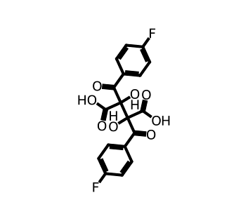 O=C(O)C(O)(C(=O)c1ccc(F)cc1)C(O)(C(=O)O)C(=O)c1ccc(F)cc1